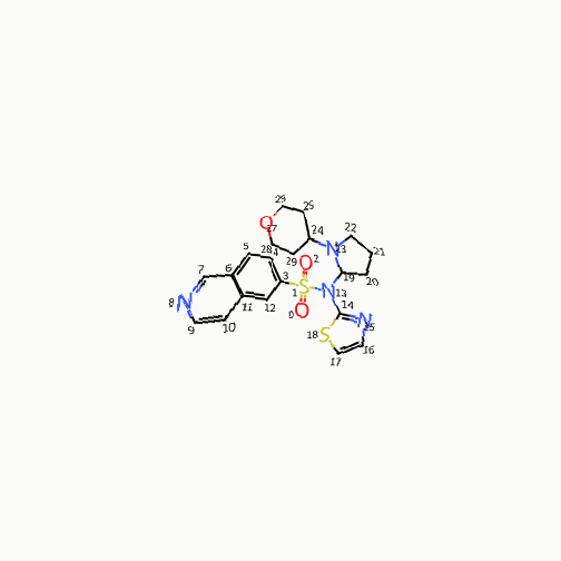 O=S(=O)(c1ccc2cnccc2c1)N(c1nccs1)C1CCCN1C1CCOCC1